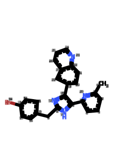 Cc1cccc(-c2[nH]c(Cc3ccc(Br)cc3)nc2-c2ccc3ncccc3c2)n1